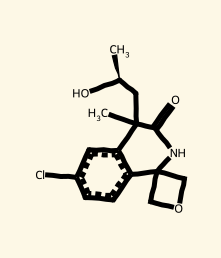 C[C@H](O)CC1(C)C(=O)NC2(COC2)c2ccc(Cl)cc21